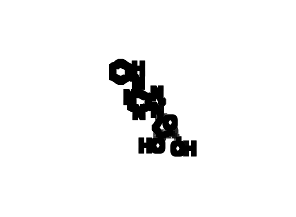 OC[C@H]1O[C@@H](n2cnc3c(Nc4ccccc4)ncnc32)C[C@@H]1O